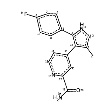 Cc1n[nH]c(-c2ccc(F)cc2)c1-c1ccnc(C(N)=O)c1